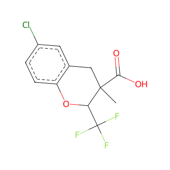 CC1(C(=O)O)Cc2cc(Cl)ccc2OC1C(F)(F)F